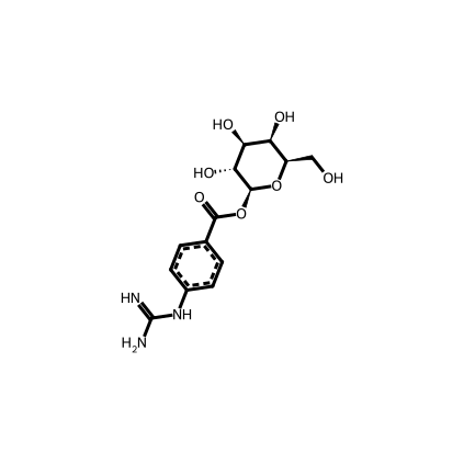 N=C(N)Nc1ccc(C(=O)O[C@@H]2O[C@H](CO)[C@H](O)[C@H](O)[C@H]2O)cc1